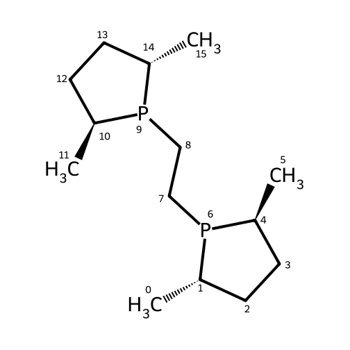 C[C@H]1CC[C@H](C)P1CCP1[C@@H](C)CC[C@@H]1C